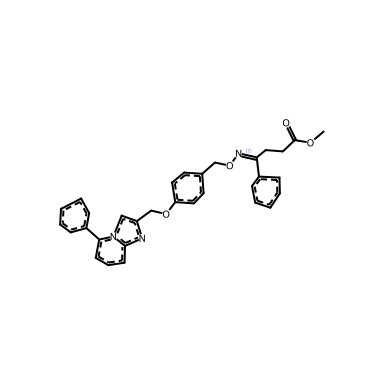 COC(=O)CC/C(=N/OCc1ccc(OCc2cn3c(-c4ccccc4)cccc3n2)cc1)c1ccccc1